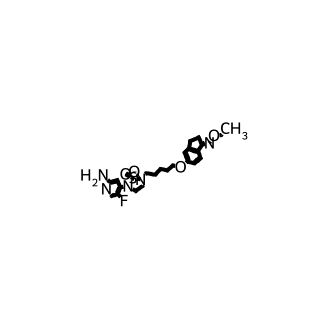 CCON=C1CCc2cc(OCCCCCN3CCN(c4cc(N)ncc4F)S3(=O)=O)ccc21